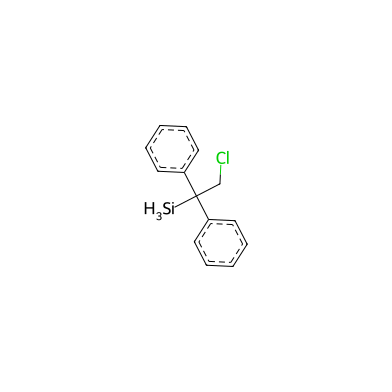 [SiH3]C(CCl)(c1ccccc1)c1ccccc1